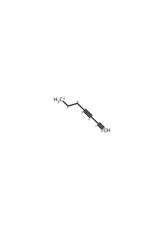 C#CC#CC[CH]C